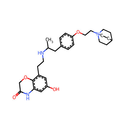 CC(Cc1ccc(OCC[N+]23CCC(CC2)CC3)cc1)NCCc1cc(O)cc2c1OCC(=O)N2